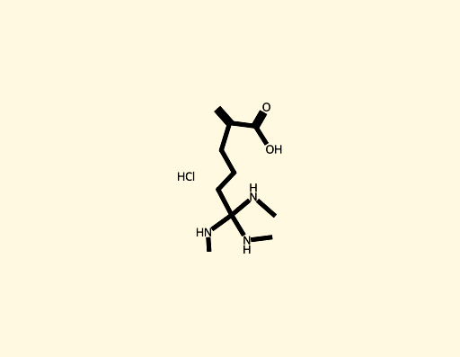 C=C(CCCC(NC)(NC)NC)C(=O)O.Cl